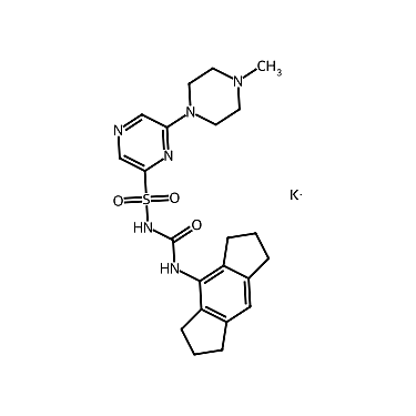 CN1CCN(c2cncc(S(=O)(=O)NC(=O)Nc3c4c(cc5c3CCC5)CCC4)n2)CC1.[K]